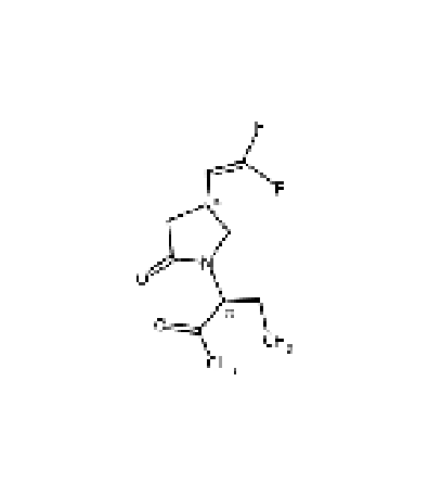 CC[C@@H](C(C)=O)N1C[C@H](C=C(F)F)CC1=O